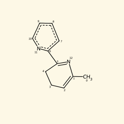 CC1=CCCC(c2ccccn2)=N1